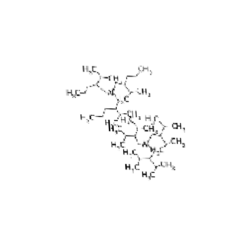 CC(C)C([CH2][Al]([CH2]C(C(C)C)C(C)C)[CH2]C(C(C)C)C(C)C)C(C)C.CCCC([CH2][Al]([CH2]C(CCC)C(C)C)[CH2]C(CCC)C(C)C)C(C)C